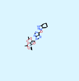 C#C[C@H]1O[C@@H](n2cnc3c(On4nnc5ccccc54)ncnc32)[C@H](OC(C)=O)[C@H]1OC(C)=O